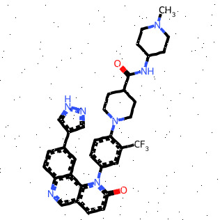 CN1CCC(NC(=O)C2CCN(c3ccc(-n4c(=O)ccc5cnc6ccc(-c7cn[nH]c7)cc6c54)cc3C(F)(F)F)CC2)CC1